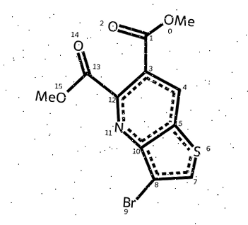 COC(=O)c1cc2scc(Br)c2nc1C(=O)OC